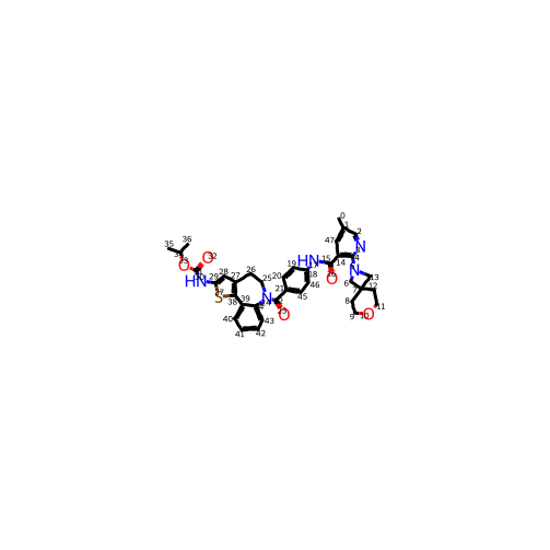 Cc1cnc(N2CC3(CCOCC3)C2)c(C(=O)Nc2ccc(C(=O)N3CCc4cc(NC(=O)OC(C)C)sc4-c4ccccc43)cc2)c1